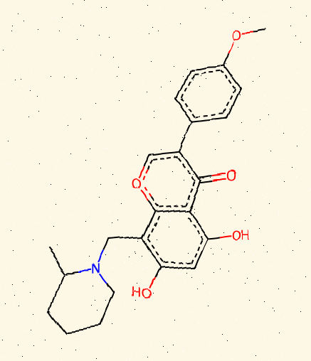 COc1ccc(-c2coc3c(CN4CCCCC4C)c(O)cc(O)c3c2=O)cc1